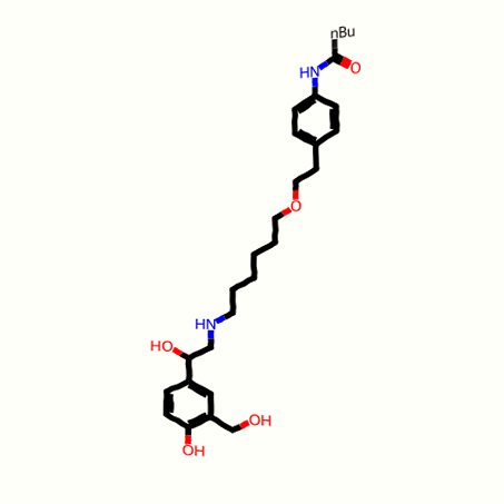 CCCCC(=O)Nc1ccc(CCOCCCCCCNCC(O)c2ccc(O)c(CO)c2)cc1